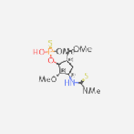 CNC(=S)N[C@@H]1C[C@H](COC)C(OP(O)(=S)OC)[C@@H]1OC